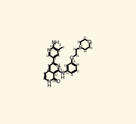 Cc1cc(-c2cc3cc[nH]c(=O)c3c(Nc3cccc(OCCN4CCOCC4)c3)n2)cnc1N